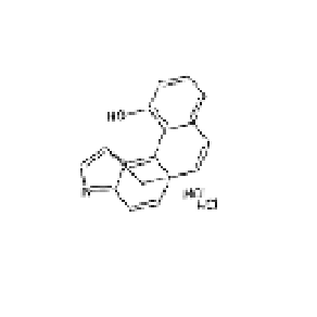 Cl.Cl.Oc1cccc2c1C1=C3C4=CN=C3C=CC1(C=C2)C4